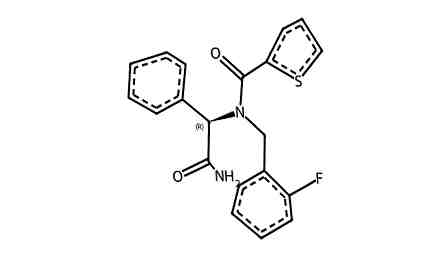 NC(=O)[C@@H](c1ccccc1)N(Cc1ccccc1F)C(=O)c1cccs1